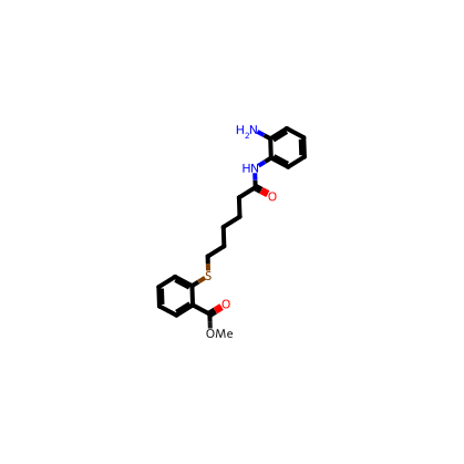 COC(=O)c1ccccc1SCCCCCC(=O)Nc1ccccc1N